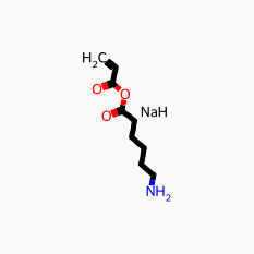 C=CC(=O)OC(=O)CCCCCN.[NaH]